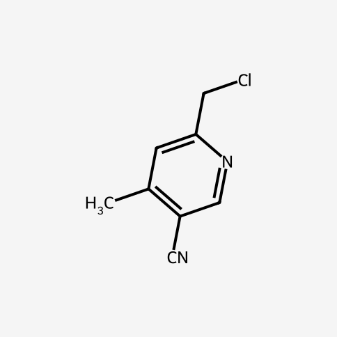 Cc1cc(CCl)ncc1C#N